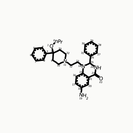 CCCOC1(c2ccccc2)CCN(CCN2c3ccc(N)cc3C(=O)NC2c2ccccc2)CC1